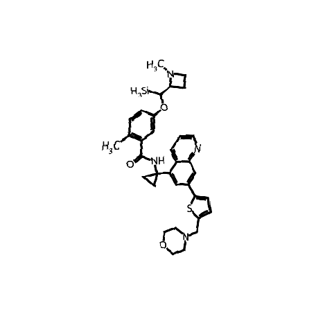 Cc1ccc(OC([SiH3])[C@@H]2CCN2C)cc1C(=O)NC1(c2cc(-c3ccc(CN4CCOCC4)s3)cc3ncccc23)CC1